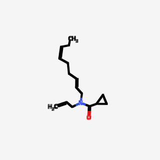 C=CCN(C/C=C/CC/C=C\CC)C(=O)C1CC1